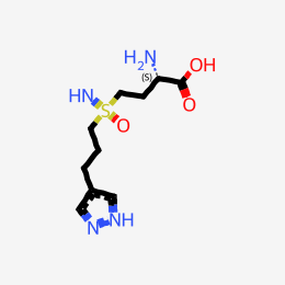 N=S(=O)(CCCc1cn[nH]c1)CC[C@H](N)C(=O)O